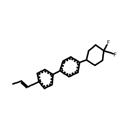 CC=Cc1ccc(-c2ccc(C3CCC(F)(F)CC3)cc2)cc1